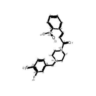 O=C(C=Cc1ccccc1[N+](=O)[O-])N1CCN(Cc2ccc(F)c(F)c2)CC1